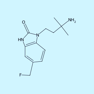 CC(C)(N)CCn1c(=O)[nH]c2cc(CF)ccc21